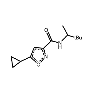 CC(NC(=O)c1cc(C2CC2)on1)C(C)(C)C